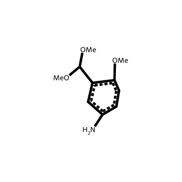 COc1ccc(N)cc1C(OC)OC